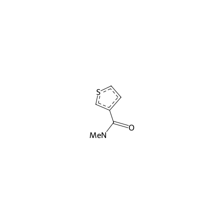 [CH2]NC(=O)c1ccsc1